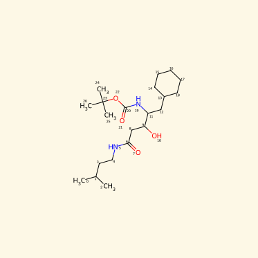 CC(C)CCNC(=O)CC(O)C(CC1CCCCC1)NC(=O)OC(C)(C)C